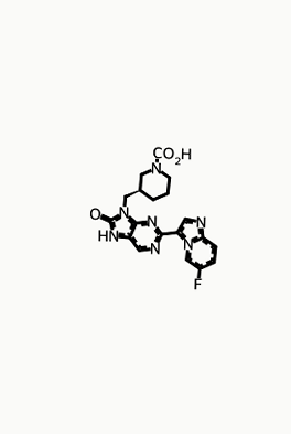 O=C(O)N1CCC[C@@H](Cn2c(=O)[nH]c3cnc(-c4cnc5ccc(F)cn45)nc32)C1